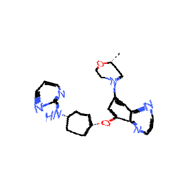 C[C@@H]1CN(c2cc(O[C@H]3CC[C@@H](Nc4ncccn4)CC3)c3nccnc3c2)CCO1